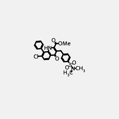 COC(=O)c1[nH]c2c(-c3ccccc3)c(Cl)ccc2c(=O)c1Cc1ccc(S(=O)(=O)N(C)C)cc1